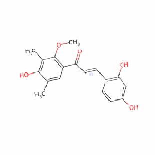 COc1c(C(=O)/C=C/c2ccc(O)cc2O)cc(C)c(O)c1C